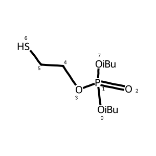 CC(C)COP(=O)(OCCS)OCC(C)C